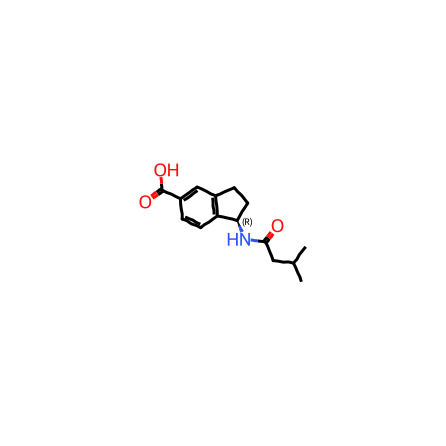 CC(C)CC(=O)N[C@@H]1CCc2cc(C(=O)O)ccc21